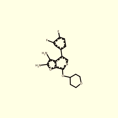 Nc1oc2c(OC3CCOCC3)ncc(-c3ccc(F)c(F)c3)c2c1N